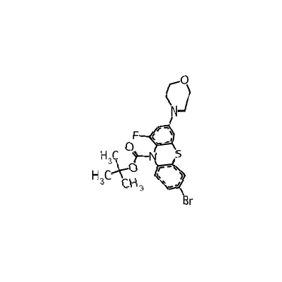 CC(C)(C)OC(=O)N1c2ccc(Br)cc2Sc2cc(N3CCOCC3)cc(F)c21